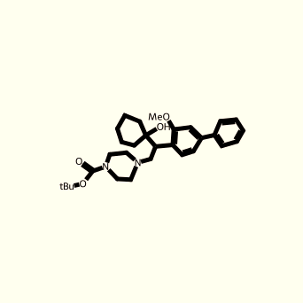 COc1cc(-c2ccccc2)ccc1C(CN1CCN(C(=O)OC(C)(C)C)CC1)C1(O)CCCCC1